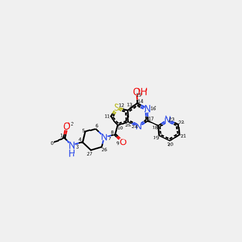 CC(=O)NC1CCN(C(=O)c2csc3c(O)nc(-c4ccccn4)nc23)CC1